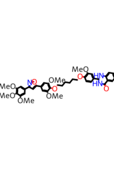 COc1cc(C2NC(=O)c3ccccc3N2)ccc1OCCCCCCOc1c(OC)cc(-c2cc(-c3cc(OC)c(OC)c(OC)c3)no2)cc1OC